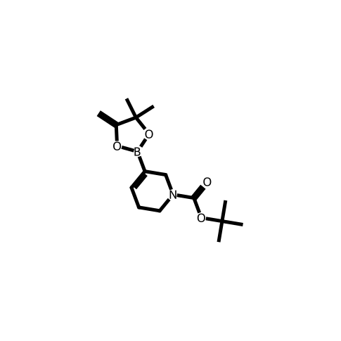 C=C1OB(C2=CCCN(C(=O)OC(C)(C)C)C2)OC1(C)C